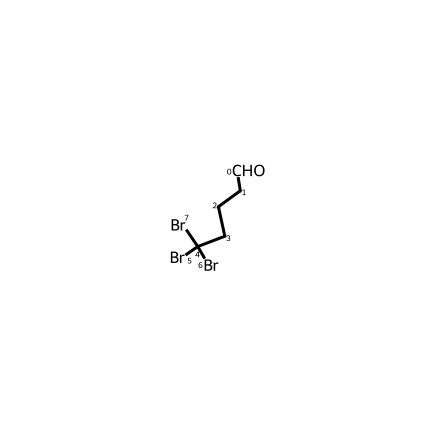 O=CCCCC(Br)(Br)Br